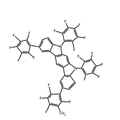 Cc1c(F)c(F)c(F)c(-c2ccc3c(c2)c2cc4c5cc(-c6c(F)c(F)c(F)c(F)c6F)ccc5n(-c5c(F)c(F)c(F)c(F)c5F)c4cc2n3-c2c(F)c(F)c(F)c(F)c2F)c1F